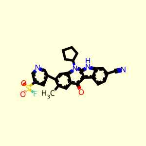 Cc1cc2c(=O)c3c4ccc(C#N)cc4[nH]c3n(C3CCCC3)c2cc1-c1cncc(S(=O)(=O)F)c1